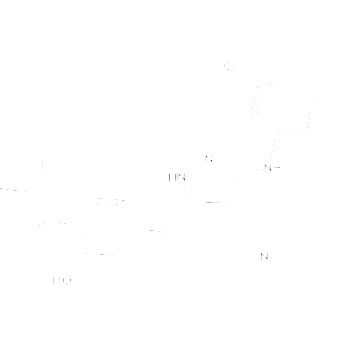 N#Cc1c(Nc2cccc(Cl)c2)n[nH]c1Cc1ccc(OC(F)F)c(O)c1